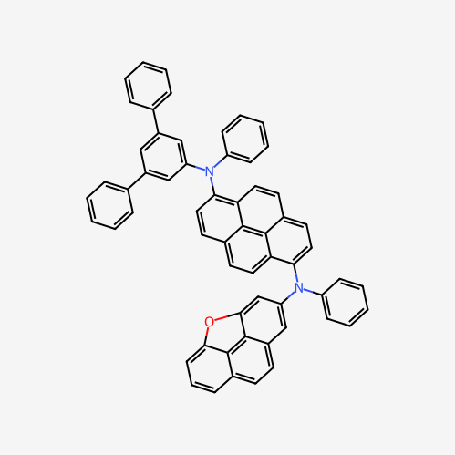 c1ccc(-c2cc(-c3ccccc3)cc(N(c3ccccc3)c3ccc4ccc5c(N(c6ccccc6)c6cc7ccc8cccc9oc(c6)c7c89)ccc6ccc3c4c65)c2)cc1